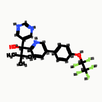 CC(C)(C)C(O)(c1cncnc1)c1ccc(-c2ccc(OC(F)(F)C(F)(F)F)cc2)cn1